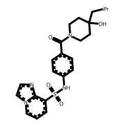 CC(C)CC1(O)CCN(C(=O)c2ccc(NS(=O)(=O)c3cccn4ccnc34)cc2)CC1